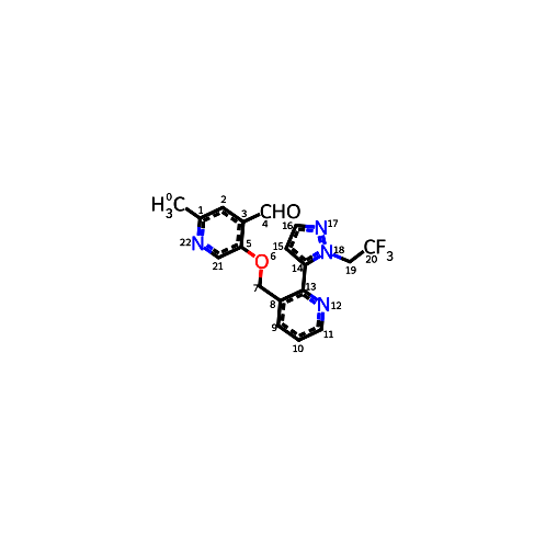 Cc1cc(C=O)c(OCc2cccnc2-c2ccnn2CC(F)(F)F)cn1